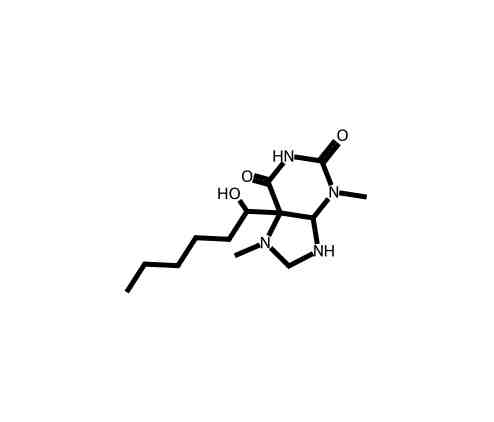 CCCCCC(O)C12C(=O)NC(=O)N(C)C1NCN2C